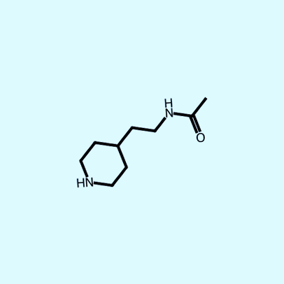 CC(=O)NCCC1CCNCC1